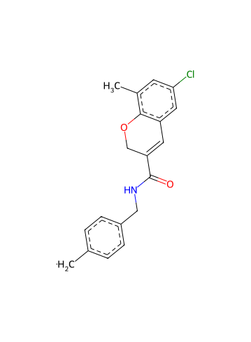 [CH2]c1ccc(CNC(=O)C2=Cc3cc(Cl)cc(C)c3OC2)cc1